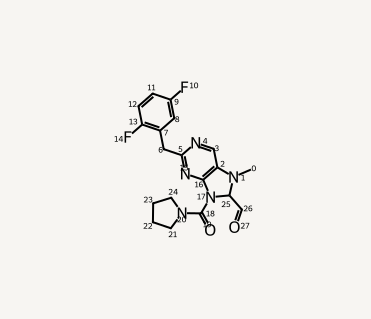 CN1c2cnc(Cc3cc(F)ccc3F)nc2N(C(=O)N2CCCC2)C1C=O